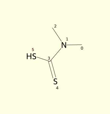 CN(C)C(=S)S